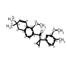 COc1cc(C2(C(=O)c3ccc4c(c3OC)C=CC(C)(C)C4)CC2)ccc1C